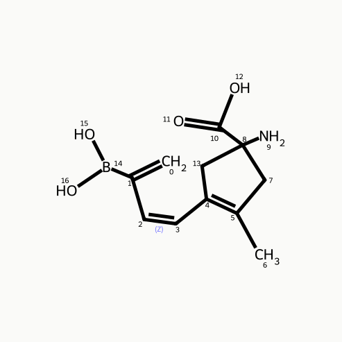 C=C(/C=C\C1=C(C)CC(N)(C(=O)O)C1)B(O)O